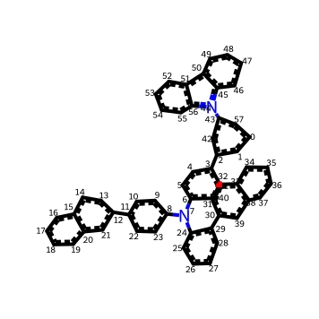 c1cc(-c2ccc(N(c3ccc(-c4ccc5ccccc5c4)cc3)c3ccccc3-c3ccc4ccccc4c3)cc2)cc(-n2c3ccccc3c3ccccc32)c1